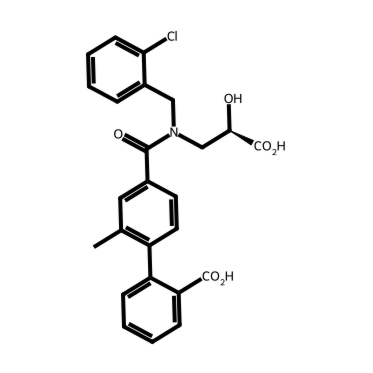 Cc1cc(C(=O)N(Cc2ccccc2Cl)C[C@@H](O)C(=O)O)ccc1-c1ccccc1C(=O)O